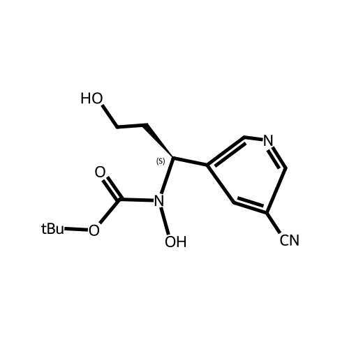 CC(C)(C)OC(=O)N(O)[C@@H](CCO)c1cncc(C#N)c1